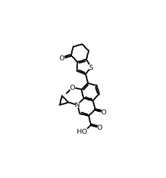 COc1c(-c2cc3c(s2)CCCC3=O)ccc2c(=O)c(C(=O)O)cn(C3CC3)c12